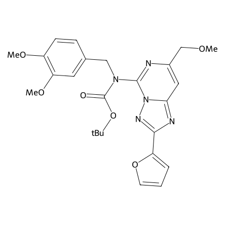 COCc1cc2nc(-c3ccco3)nn2c(N(Cc2ccc(OC)c(OC)c2)C(=O)OC(C)(C)C)n1